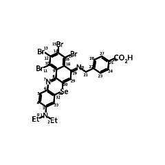 CCN(CC)c1ccc2nc3c4c(Br)c(Br)c(Br)c(Br)c4c(=NCc4ccc(C(=O)O)cc4)cc-3[se]c2c1